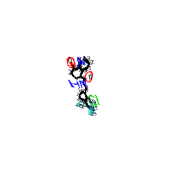 O=C1CCC(C(=O)NCc2cccc(C(F)(F)F)c2Cl)c2cccnc21